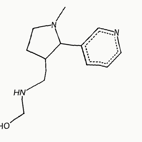 CN1CCC(CNCO)C1c1cccnc1